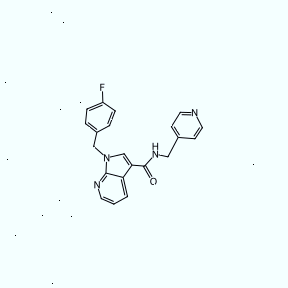 O=C(NCc1ccncc1)c1cn(Cc2ccc(F)cc2)c2ncccc12